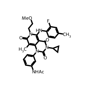 COCCn1c(Nc2ccc(C)cc2F)c2c(=O)n(C3CC3)c(=O)n(-c3cccc(NC(C)=O)c3)c2c(C)c1=O